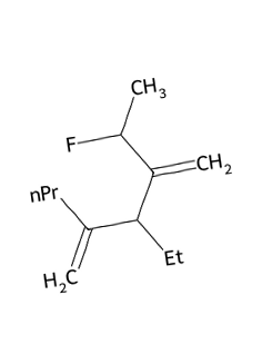 C=C(CCC)C(CC)C(=C)C(C)F